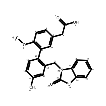 COc1ccc(CC(=O)O)cc1-c1ccc(C)cc1Cn1c(=O)oc2ccccc21